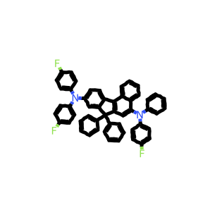 Fc1ccc(N(c2ccc(F)cc2)c2ccc3c(c2)C(c2ccccc2)(c2ccccc2)c2cc(N(c4ccccc4)c4ccc(F)cc4)c4ccccc4c2-3)cc1